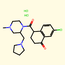 CN1CCN(C(=O)C2CCC(=O)c3cc(Cl)ccc32)C(CN2CCCC2)C1.Cl.Cl